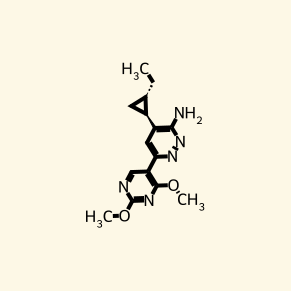 CC[C@H]1C[C@@H]1c1cc(-c2cnc(OC)nc2OC)nnc1N